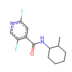 CC1CCCCC1NC(=O)c1cc(F)ncc1F